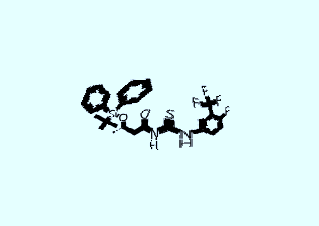 C[C@@H](CC(=O)NC(=S)Nc1ccc(F)c(C(F)(F)F)c1)O[Si](c1ccccc1)(c1ccccc1)C(C)(C)C